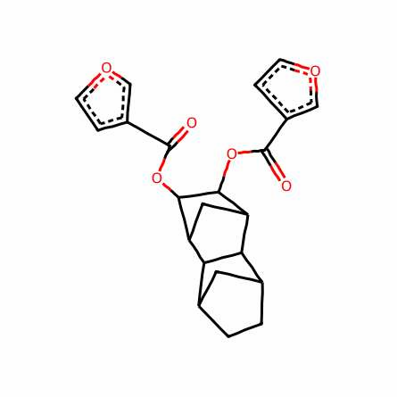 O=C(OC1C2CC(C1OC(=O)c1ccoc1)C1C3CCC(C3)C21)c1ccoc1